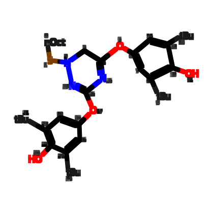 CCCCCCCCSN1CC(Oc2cc(C(C)(C)C)c(O)c(C(C)(C)C)c2)=NC(Oc2cc(C(C)(C)C)c(O)c(C(C)(C)C)c2)=N1